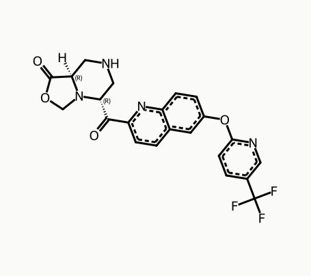 O=C1OCN2[C@@H]1CNC[C@@H]2C(=O)c1ccc2cc(Oc3ccc(C(F)(F)F)cn3)ccc2n1